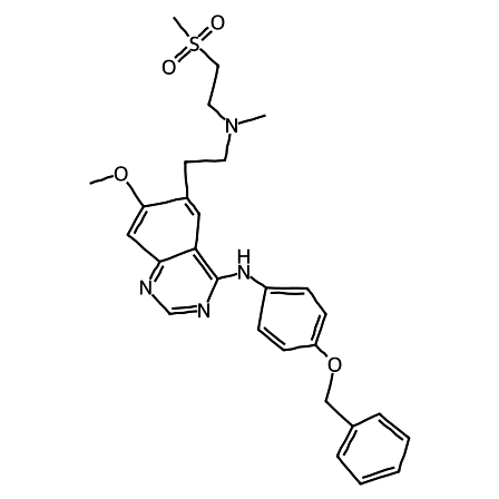 COc1cc2ncnc(Nc3ccc(OCc4ccccc4)cc3)c2cc1CCN(C)CCS(C)(=O)=O